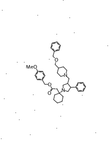 COc1ccc(COC(=O)CC2(N3CC(CN4CCC(COCc5ccccc5)CC4)C(c4ccccc4)C3)CCCCC2)cc1